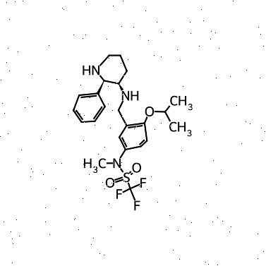 CC(C)Oc1ccc(N(C)S(=O)(=O)C(F)(F)F)cc1CN[C@@H]1CCCN[C@@H]1c1ccccc1